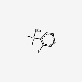 CC(C)(C)[Si](C)(C)c1ccc[c]c1F